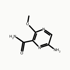 COc1ncc(N)nc1C(N)=O